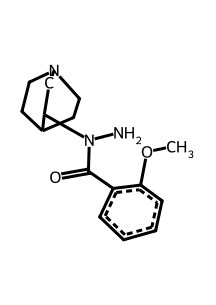 COc1ccccc1C(=O)N(N)C1CN2CCC1CC2